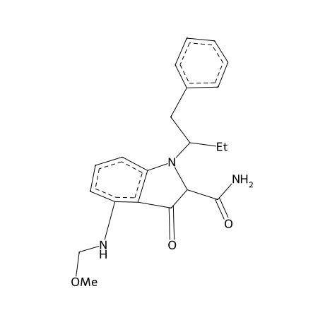 CCC(Cc1ccccc1)N1c2cccc(NCOC)c2C(=O)C1C(N)=O